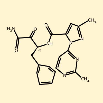 Cc1cc(C(=O)N[C@@H](Cc2ccccc2)C(=O)C(N)=O)n(-c2ccnc(C)n2)n1